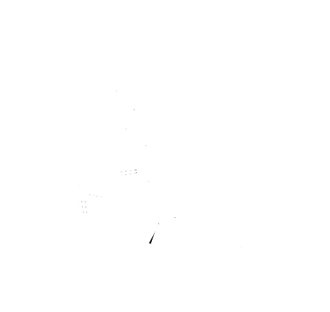 CCCCCCCCCCCCC/C=C/[C@@H](O)[C@H](COP(=O)(Br)OCCC)NC(=O)CCCCCCCCCCCCCCC